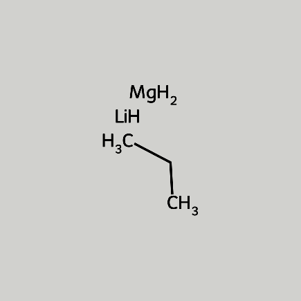 CCC.[LiH].[MgH2]